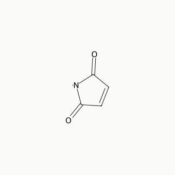 O=C1C=CC(=O)[N]1